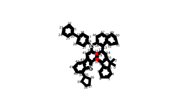 CC1(C)c2ccccc2-c2ccc(-c3c(N(c4ccc(-c5ccccc5)cc4)c4ccc5sc6c(C7CCCC7)cccc6c5c4)ccc4ccccc34)cc21